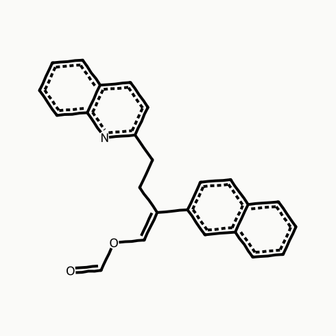 O=CO/C=C(\CCc1ccc2ccccc2n1)c1ccc2ccccc2c1